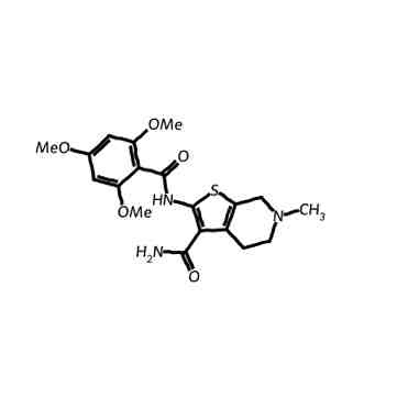 COc1cc(OC)c(C(=O)Nc2sc3c(c2C(N)=O)CCN(C)C3)c(OC)c1